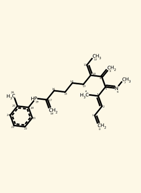 C=C/C=C(C)/C(=N/C)C(=C)/C(=C\C)CCCCC(=C)Pc1ccccc1C